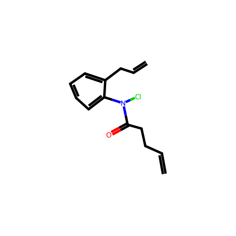 C=CCCC(=O)N(Cl)c1ccccc1CC=C